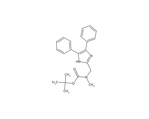 CN(Cc1nc(-c2ccccc2)c(-c2ccccc2)[nH]1)C(=O)OC(C)(C)C